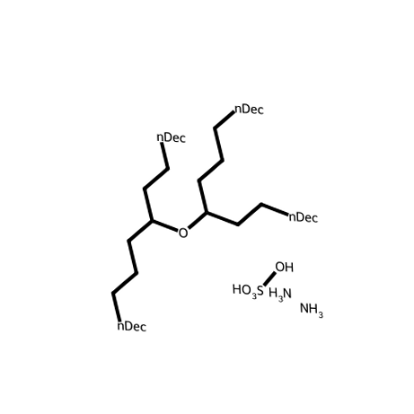 CCCCCCCCCCCCCC(CCCCCCCCCCCC)OC(CCCCCCCCCCCC)CCCCCCCCCCCCC.N.N.O=S(=O)(O)O